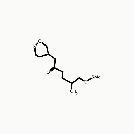 CSOCC(C)CCC(=O)CC1CCSOC1